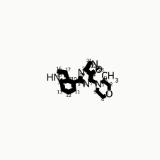 C[C@@H]1COCCN1c1nc(-c2cccc3[nH]ccc23)nc2cnoc12